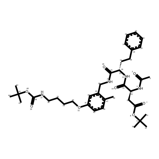 CC(=O)N[C@@H](CC(=O)OC(C)(C)C)C(=O)N[C@@H](CCc1ccccc1)C(=O)NCc1cc(OCCCCNC(=O)OC(C)(C)C)ccc1C